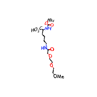 COCCOCCOCC(=O)NCCCCC(NC(=O)OC(C)(C)C)C(=O)O